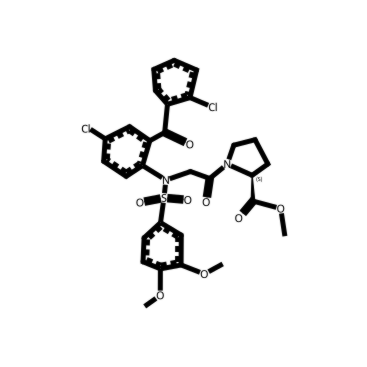 COC(=O)[C@@H]1CCCN1C(=O)CN(c1ccc(Cl)cc1C(=O)c1ccccc1Cl)S(=O)(=O)c1ccc(OC)c(OC)c1